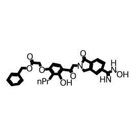 CCCc1c(OCC(=O)OCc2ccccc2)ccc(C(=O)CN2Cc3cc(C(=N)NO)ccc3C2=O)c1O